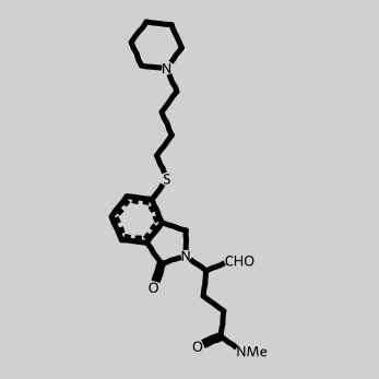 CNC(=O)CCC(C=O)N1Cc2c(SCCCCN3CCCCC3)cccc2C1=O